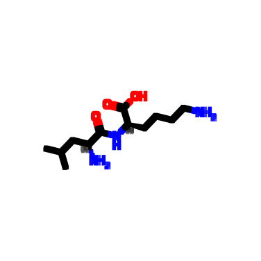 CC(C)C[C@@H](N)C(=O)N[C@H](CCCCN)C(=O)O